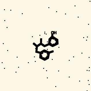 Cc1cccc(CC(C)C(C)Cc2cccc(O)c2)c1